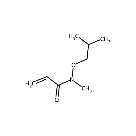 C=CC(=O)N(C)OCC(C)C